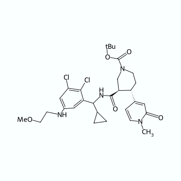 COCCNc1cc(Cl)c(Cl)c(C(NC(=O)[C@H]2CN(C(=O)OC(C)(C)C)CC[C@@H]2c2ccn(C)c(=O)c2)C2CC2)c1